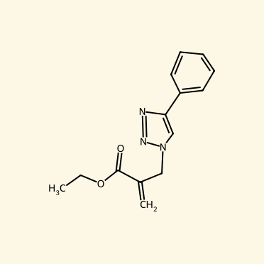 C=C(Cn1cc(-c2ccccc2)nn1)C(=O)OCC